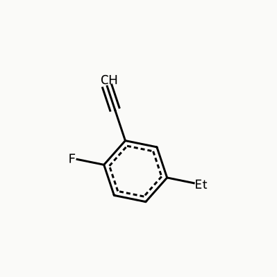 C#Cc1cc(CC)ccc1F